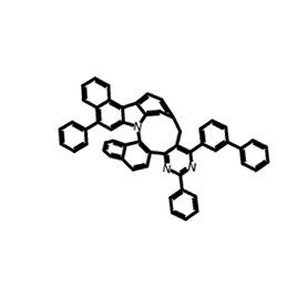 c1ccc(-c2cccc(-c3nc(-c4ccccc4)nc4c3Cc3ccc5c6c7ccccc7c(-c7ccccc7)cc6n(c5c3)-c3c-4ccc4ccccc34)c2)cc1